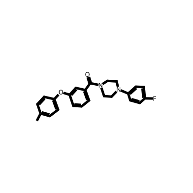 Cc1ccc(Oc2cccc(C(=O)N3CCN(c4ccc(F)cc4)CC3)c2)cc1